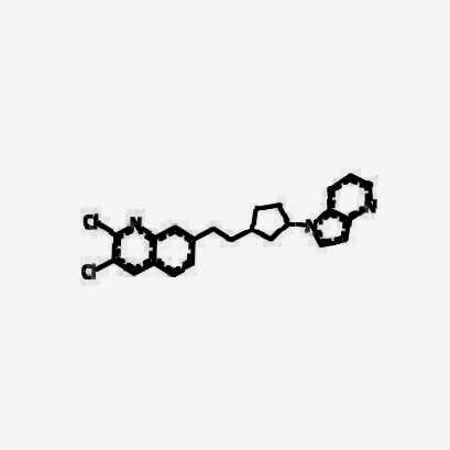 Clc1cc2ccc(CCC3CCC(n4ccc5ncccc54)C3)cc2nc1Cl